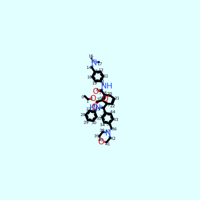 CCOC(=O)C1=C(C(=O)Nc2ccc(CN(C)C)cc2)C2C=CC1(C(Nc1ccccc1)c1ccc(CN3CCOCC3)cc1)O2